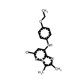 CCOc1ccc(Nc2cc(Cl)nn3c(C)c(C)nc23)cc1